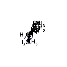 COc1cc(-c2nn(-c3ccc(N(C)C(=O)/C=C/CN(C)C)nc3)c3ncnc(N)c23)ccc1C